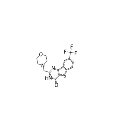 O=c1[nH]c(CN2CCOCC2)nc2c1sc1ccc(C(F)(F)F)cc12